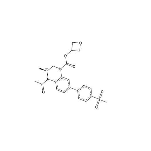 CC(=O)N1c2ccc(-c3ccc(S(C)(=O)=O)cc3)cc2N(C(=O)OC2COC2)C[C@@H]1C